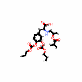 CCCOC(=O)Oc1ccc(C[C@H](NCC(C)OC(=O)C(C)C)C(=O)O)cc1OC(=O)OCCC